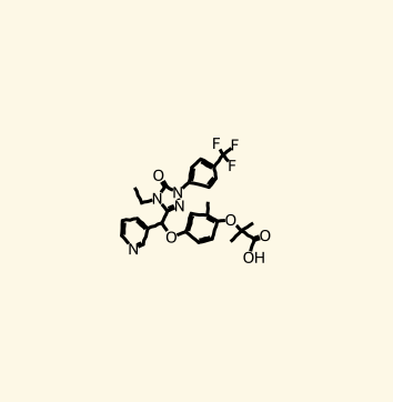 CCn1c(C(Oc2ccc(OC(C)(C)C(=O)O)c(C)c2)c2cccnc2)nn(-c2ccc(C(F)(F)F)cc2)c1=O